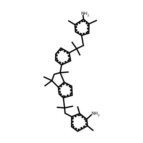 Cc1cc(CC(C)(C)c2cccc(C3(C)CC(C)(C)c4cc(C(C)(C)Cc5ccc(C)c(N)c5C)ccc43)c2)cc(C)c1N